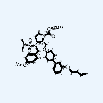 C=CCCOc1cccc(C2CCC(OC[C@H]3[C@@H](N(Cc4ccc(OC)cc4)S(=O)(=O)N(C)C)CCN3C(=O)OC(C)(C)C)CC2)c1